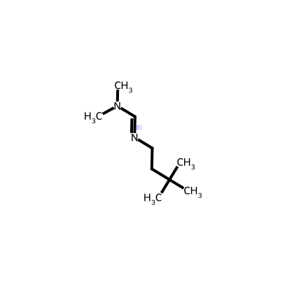 CN(C)/C=N/CCC(C)(C)C